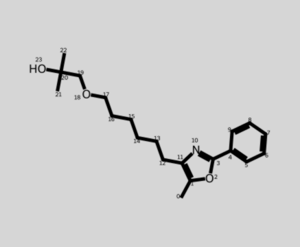 Cc1oc(-c2ccccc2)nc1CCCCCCOCC(C)(C)O